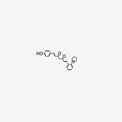 O=C(C=Cc1ccc(O)cc1)CC(=O)C=Cc1ccccc1N1CCCC1